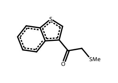 CSCC(=O)c1csc2ccccc12